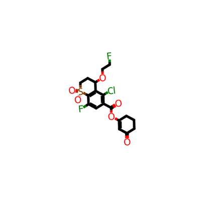 O=C1C=C(OC(=O)c2cc(F)c3c(c2Cl)C(OCCF)CCS3(=O)=O)CCC1